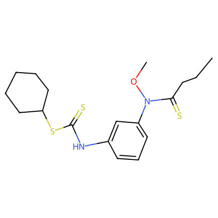 CCCC(=S)N(OC)c1cccc(NC(=S)SC2CCCCC2)c1